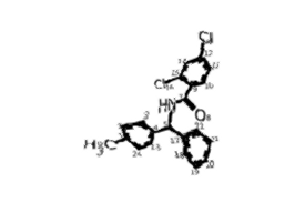 Cc1ccc(C(NC(=O)c2ccc(Cl)cc2Cl)c2ccccc2)cc1